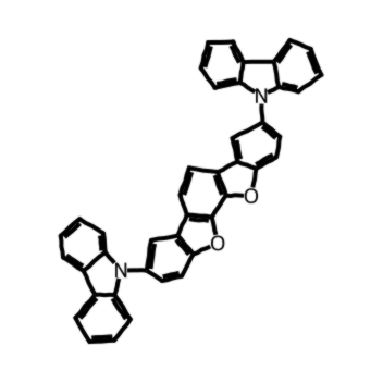 c1ccc2c(c1)c1ccccc1n2-c1ccc2oc3c(ccc4c5cc(-n6c7ccccc7c7ccccc76)ccc5oc43)c2c1